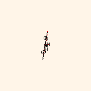 CCCCCCCCCC(=O)OCCCCCCCN(CCCCCCCOC(=O)CCCCCCCCC)NCCN(C)C